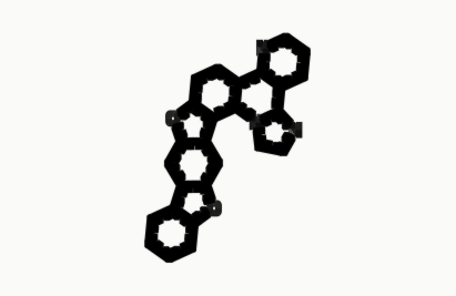 c1ccc2c(c1)oc1cc3c(cc12)oc1ccc2c4ncccc4c4nccn4c2c13